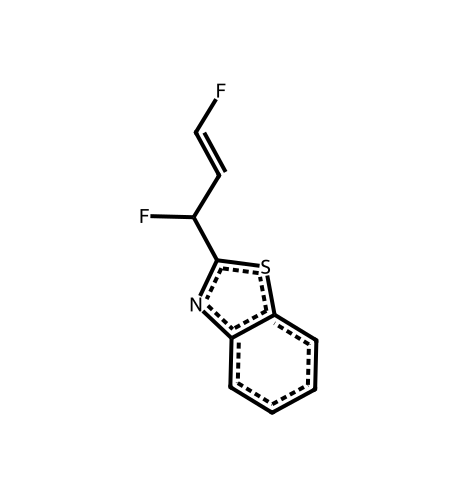 FC=CC(F)c1nc2ccccc2s1